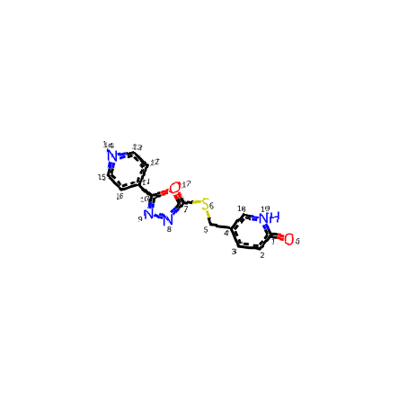 O=c1ccc(CSc2nnc(-c3ccncc3)o2)c[nH]1